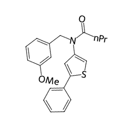 CCCC(=O)N(Cc1cccc(OC)c1)c1csc(-c2ccccc2)c1